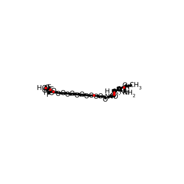 CCCNC(=O)C1=Cc2ccc(-c3cccc([S+]([O-])N4CC(CNC(=O)CCOCCOCCOCCOCCOCCOCCOCCOCCOCCOCCC(=O)Oc5c(F)c(F)c(S(=O)(=O)O)c(F)c5F)C4)c3)cc2N=C(N)C1